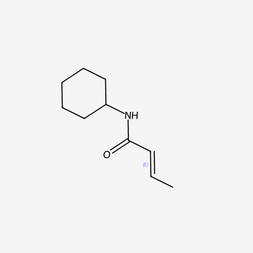 C/C=C/C(=O)NC1CCCCC1